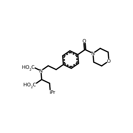 CC(C)CC(C(=O)O)N(CCc1ccc(C(=O)N2CCOCC2)cc1)C(=O)O